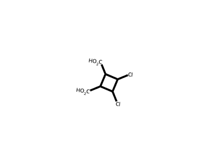 O=C(O)C1C(Cl)C(Cl)C1C(=O)O